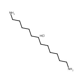 Cl.NCCCCCCCCCCCCN